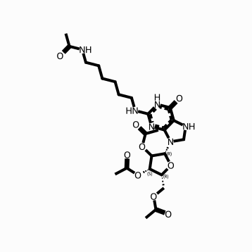 CC(=O)NCCCCCCNc1nc2c(c(=O)[nH]1)NCN2[C@@H]1O[C@H](COC(C)=O)[C@H](OC(C)=O)C1OC(C)=O